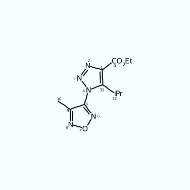 CCOC(=O)c1nnn(-c2nonc2C)c1C(C)C